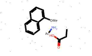 CC(N)=O.CCC(=O)O.COc1cccc2ccccc12